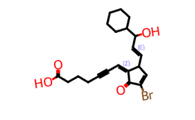 O=C(O)CCCC#C/C=C1\C(=O)C(Br)=CC1/C=C/C(O)C1CCCCC1